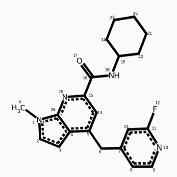 Cn1ccc2c(Cc3ccnc(F)c3)cc(C(=O)NC3CCCCC3)nc21